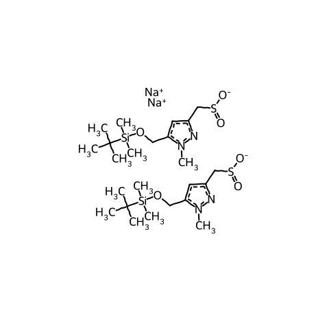 Cn1nc(CS(=O)[O-])cc1CO[Si](C)(C)C(C)(C)C.Cn1nc(CS(=O)[O-])cc1CO[Si](C)(C)C(C)(C)C.[Na+].[Na+]